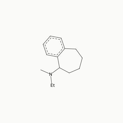 CCN(C)C1CCCCc2ccccc21